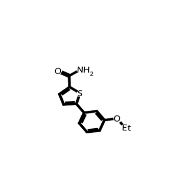 CCOc1cccc(-c2ccc(C(N)=O)s2)c1